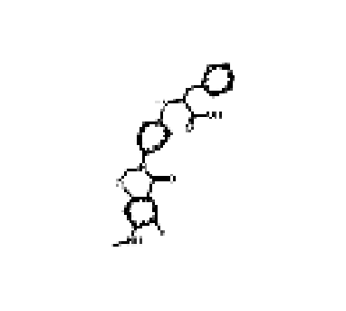 CNc1cc2c(cc1F)C(=O)N(c1ccc(NC(Cc3ccccc3)C(=O)O)cc1)CO2